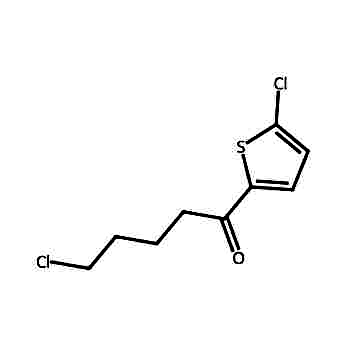 O=C(CCCCCl)c1ccc(Cl)s1